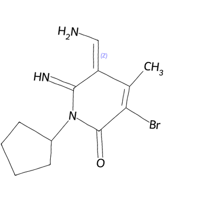 CC1=C(Br)C(=O)N(C2CCCC2)C(=N)/C1=C\N